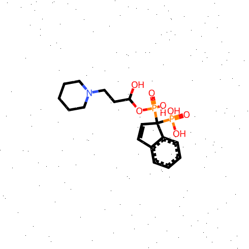 O=P(O)(O)C1(P(=O)(O)OC(O)CCN2CCCCC2)C=Cc2ccccc21